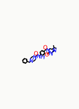 CC(C)CCN(C(=O)c1ccc(NC(=O)N2CCN(Cc3ccccc3)CC2)cc1)C(=O)N(C)C#N